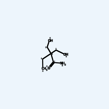 CCC(CO)(CO)C(N)=O